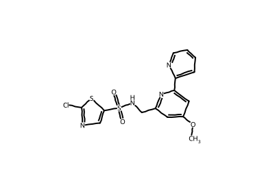 COc1cc(CNS(=O)(=O)c2cnc(Cl)s2)nc(-c2ccccn2)c1